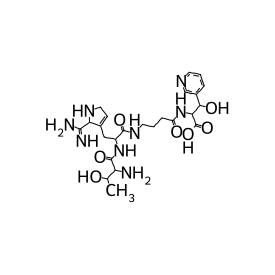 CC(O)C(N)C(=O)NC(CC1=CCNC1C(=N)N)C(=O)NCCCC(=O)NC(C(=O)O)C(O)c1cccnc1